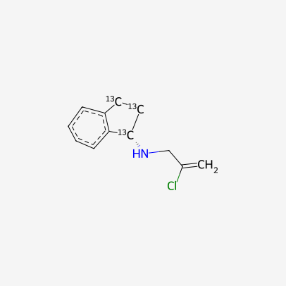 C=C(Cl)CN[13C@H]1[13CH2][13CH2]c2ccccc21